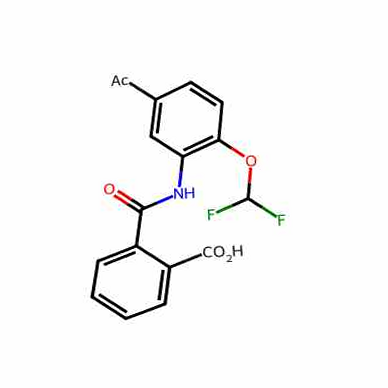 CC(=O)c1ccc(OC(F)F)c(NC(=O)c2ccccc2C(=O)O)c1